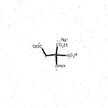 CCCCCCC(CC(=O)[O-])(C(=O)OCC)S(=O)(=O)O.[Na+]